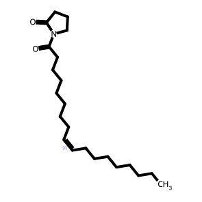 CCCCCCCC/C=C\CCCCCCCC(=O)N1CCCC1=O